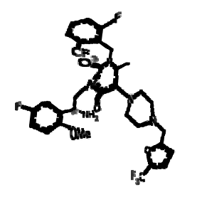 COc1ccc(F)cc1[C@@H](N)Cn1c(=O)c(N2CCN(Cc3ccc(C(F)(F)F)o3)CC2)c(C)n(Cc2c(F)cccc2C(F)(F)F)c1=O